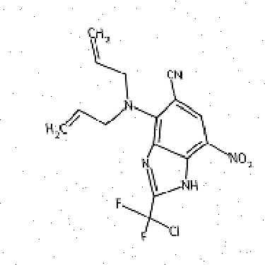 C=CCN(CC=C)c1c(C#N)cc([N+](=O)[O-])c2[nH]c(C(F)(F)Cl)nc12